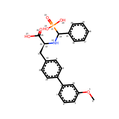 COc1cccc(-c2ccc(C[C@H](NC(c3ccccc3)P(=O)(O)O)C(=O)O)cc2)c1